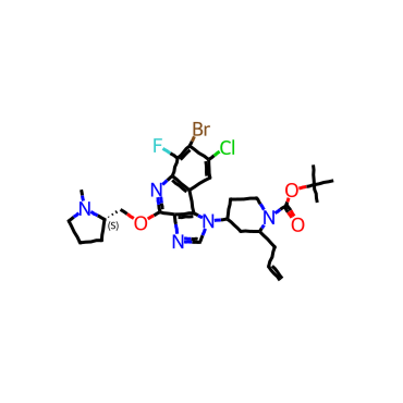 C=CCC1CC(n2cnc3c(OC[C@@H]4CCCN4C)nc4c(F)c(Br)c(Cl)cc4c32)CCN1C(=O)OC(C)(C)C